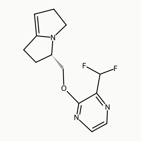 FC(F)c1nccnc1OC[C@@H]1CCC2=CCCN21